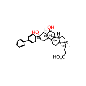 C[C@H](CCC(=O)O)[C@H]1CC[C@H]2[C@@H]3C[C@H](O)[C@@H]4C[C@](O)(c5ccc(-c6ccccc6)cc5)CC[C@]4(C)[C@H]3CC[C@]12C